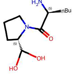 CCCC[C@H](N)C(=O)N1CCC[C@H]1C(O)O